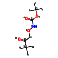 CC(C)(C)OC(=O)NOCC(=O)C(C)(C)C